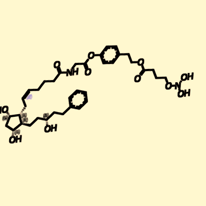 O=C(CCC/C=C\C[C@@H]1[C@@H](CC[C@@H](O)CCc2ccccc2)[C@H](O)C[C@@H]1O)NCC(=O)Oc1ccc(CCOC(=O)CCCON(O)O)cc1